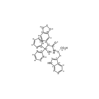 O=C(N[C@@H](Cc1c[nH]c2ccccc12)C(=O)O)C(c1ccc2c(c1)OCO2)C(O)(c1ccccn1)c1ccccn1